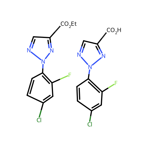 CCOC(=O)c1cnn(-c2ccc(Cl)cc2F)n1.O=C(O)c1cnn(-c2ccc(Cl)cc2F)n1